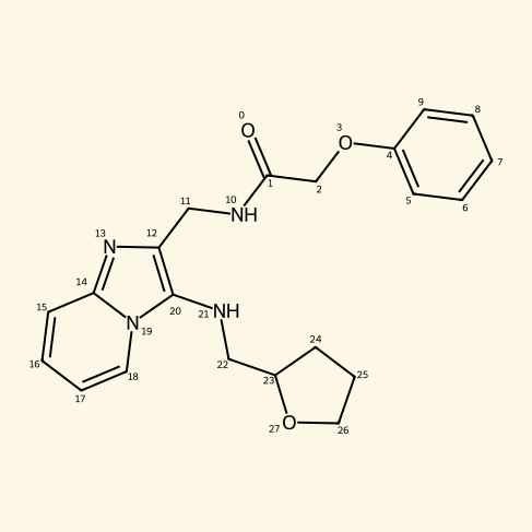 O=C(COc1ccccc1)NCc1nc2ccccn2c1NCC1CCCO1